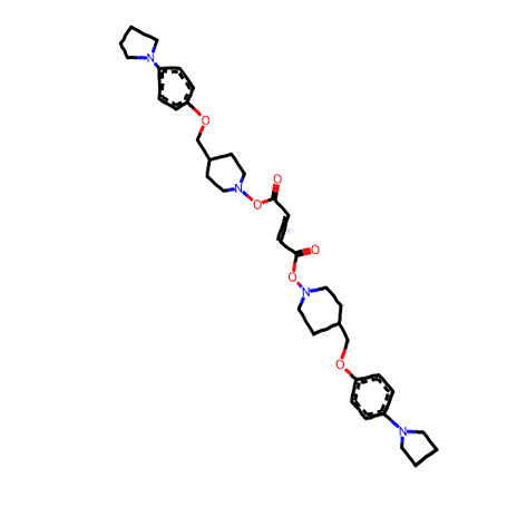 O=C(/C=C/C(=O)ON1CCC(COc2ccc(N3CCCC3)cc2)CC1)ON1CCC(COc2ccc(N3CCCC3)cc2)CC1